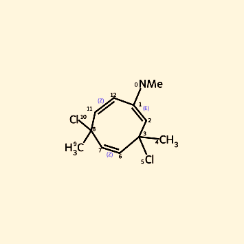 CNC1=C/C(C)(Cl)/C=C\C(C)(Cl)/C=C\1